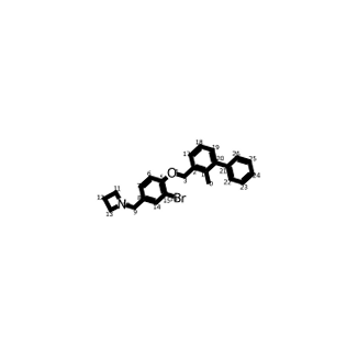 Cc1c(COc2ccc(CN3CCC3)cc2Br)cccc1-c1ccccc1